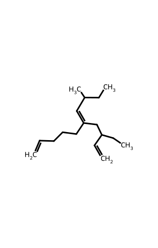 C=CCCCC(=CC(C)CC)CC(C=C)CC